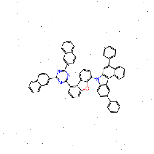 c1ccc(-c2ccc3c(c2)c2c4ccccc4c(-c4ccccc4)cc2n3-c2cccc3c2oc2cccc(-c4nc(-c5ccc6ccccc6c5)nc(-c5ccc6ccccc6c5)n4)c23)cc1